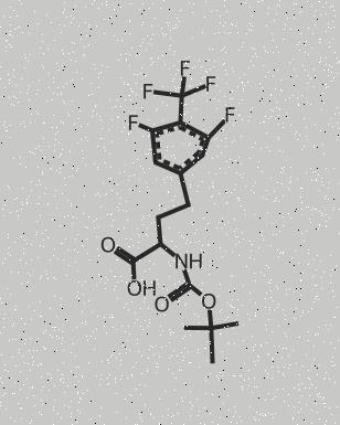 CC(C)(C)OC(=O)NC(CCc1cc(F)c(C(F)(F)F)c(F)c1)C(=O)O